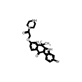 CC1(C)c2cc(OCC(=O)N3CCNCC3)ccc2C(=O)c2c1[nH]c1cc(Br)ccc21